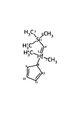 C[Si](C)(C)[CH]=[Hf]([CH3])([CH3])[CH]1C=CC=C1